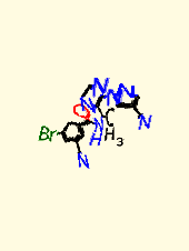 CC(NC(=O)c1cc(Br)cc(C#N)c1)c1nccnc1-n1cc(C#N)cn1